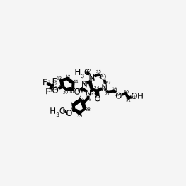 COc1ccc(Cn2c(Oc3cccc(OC(F)(F)F)c3)nc3c2C(=O)N(CCOCCO)COCN3C)cc1